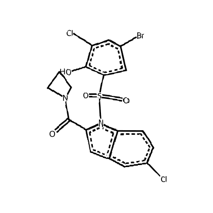 O=C(c1cc2cc(Cl)ccc2n1S(=O)(=O)c1cc(Br)cc(Cl)c1O)N1CCC1